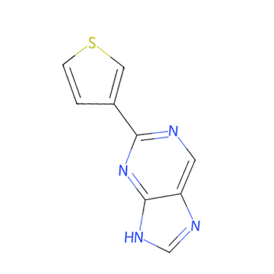 c1nc2cnc(-c3ccsc3)nc2[nH]1